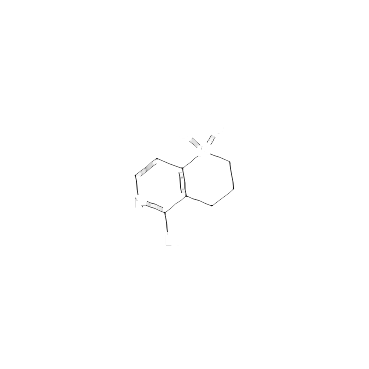 CCc1nccc2c1CCCS2(=O)=O